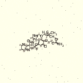 C[Si](C)(C)CCOCn1ncc(NC(=O)c2cnn3cccnc23)c1-c1cc(OCCOC(N)=O)c(Cl)cc1OC(F)F